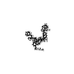 CNCc1ccccc1CN(CC(=O)Nc1ccc2c(c1)C[C@H](C(=O)Nc1ccccn1)C2)C(=O)C1(C)CCN(C(=O)Cc2ccncc2)CC1